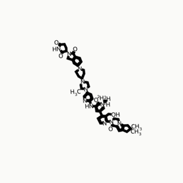 [2H]C([2H])([2H])n1cc(-c2ccnc(N3CCn4c(cc5c4CC(C)(C)C5)C3=O)c2CO)cc(Nc2ccc(N3CCN(C4CCN(c5ccc6c(c5)CN([C@H]5CCC(=O)NC5=O)C6=O)CC4)C[C@@H]3C)cn2)c1=O